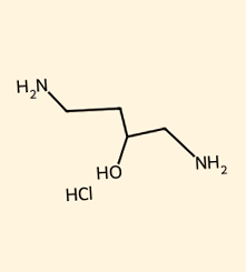 Cl.NCCC(O)CN